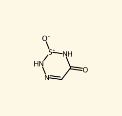 O=C1C=NN[S+]([O-])N1